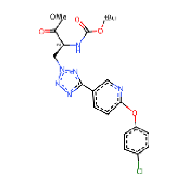 COC(=O)[C@H](Cn1nnc(-c2ccc(Oc3ccc(Cl)cc3)nc2)n1)NC(=O)OC(C)(C)C